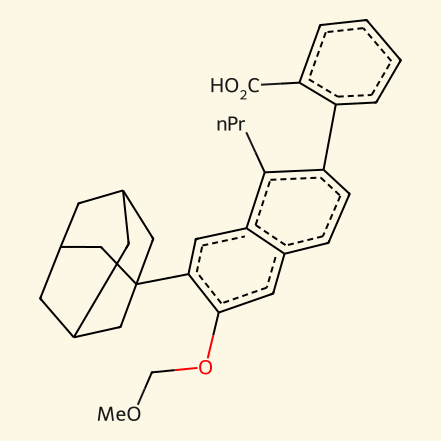 CCCc1c(-c2ccccc2C(=O)O)ccc2cc(OCOC)c(C34CC5CC(CC(C5)C3)C4)cc12